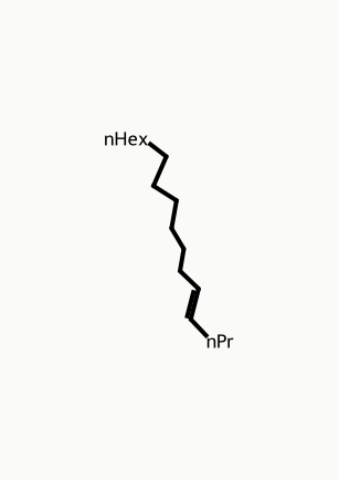 [CH2]CCCCCCCCCCCC=CCCC